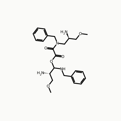 COC[C@H](N)CN(Cc1ccccc1)C(=O)C(=O)OC(NCc1ccccc1)[C@@H](N)COC